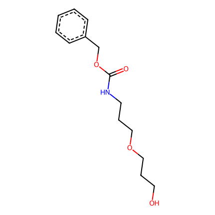 O=C(NCCCOCCCO)OCc1ccccc1